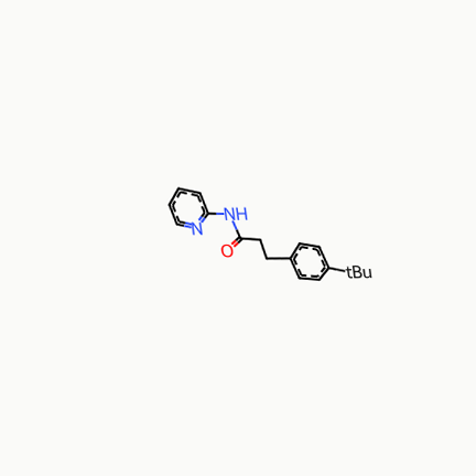 CC(C)(C)c1ccc(CCC(=O)Nc2ccccn2)cc1